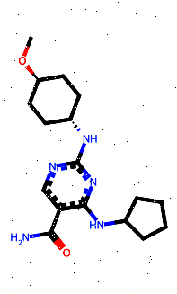 CO[C@H]1CC[C@H](Nc2ncc(C(N)=O)c(NC3CCCC3)n2)CC1